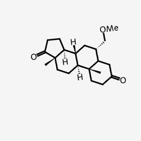 COC[C@H]1C[C@@H]2[C@H](CC[C@]3(C)C(=O)CC[C@@H]23)[C@@]2(C)CCC(=O)CC12